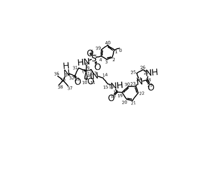 Cc1ccc(S(=O)(=O)N[C@@](C=O)(CNCCNC(=O)c2cccc(N3CCNC3=O)c2)CC(=O)NC(C)(C)C)cc1